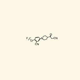 N#CCC(=O)C1CCN(c2ccc(OC(F)(F)F)c(C#N)c2)CC1